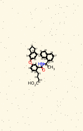 C[C@@H](NC(=O)c1cc(Oc2ccc3c(c2)CCC3)ccc1CCCC(=O)O)c1cccc2ccccc12